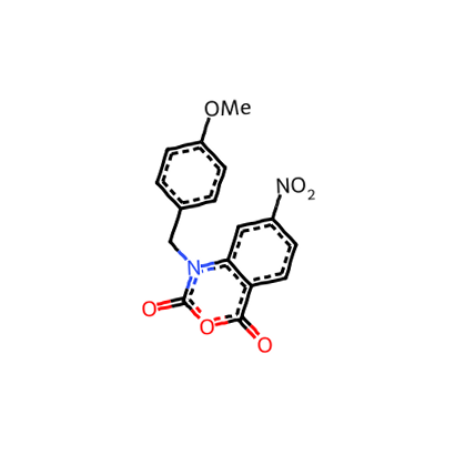 COc1ccc(Cn2c(=O)oc(=O)c3ccc([N+](=O)[O-])cc32)cc1